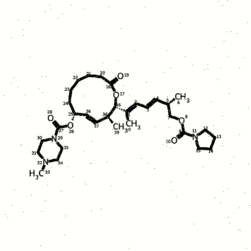 C/C(=C\C=C\[C@@H](C)COC(=O)N1CCCC1)[C@H]1OC(=O)CCCCC[C@@H](OC(=O)N2CCN(C)CC2)/C=C/[C@@H]1C